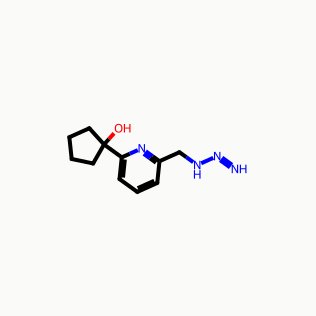 N=NNCc1cccc(C2(O)CCCC2)n1